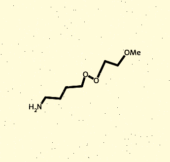 COCCOOCCCCN